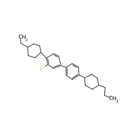 CCCC1CCC(c2ccc(-c3ccc(C4CCC(CC)CC4)c(F)c3)cc2)CC1